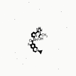 C[C@H](CO)n1nnnc1-c1cccc(NC(=O)c2cc3c(cc2F)CCN(C2CC2)C3)n1